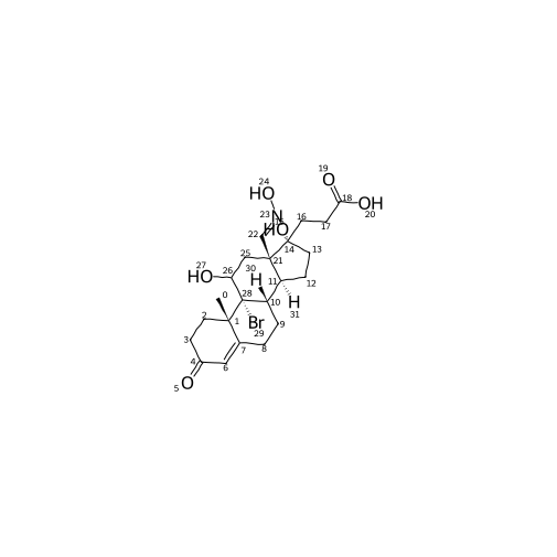 C[C@]12CCC(=O)C=C1CC[C@H]1[C@@H]3CC[C@](O)(CCC(=O)O)[C@@]3(C=NO)CC(O)[C@@]12Br